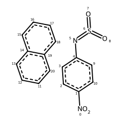 O=[N+]([O-])c1ccc(N=S(=O)=O)cc1.c1ccc2ccccc2c1